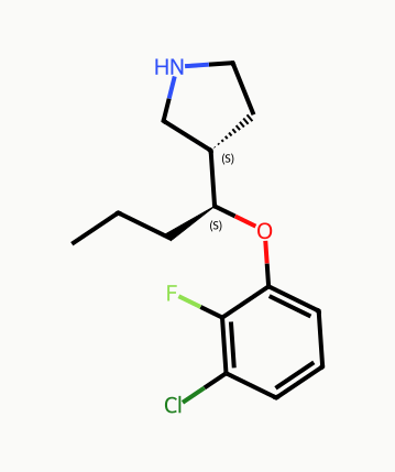 CCC[C@H](Oc1cccc(Cl)c1F)[C@H]1CCNC1